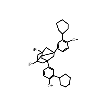 CC(C)C12CC3(c4ccc(O)c(C5CCCCC5)c4)CC(c4ccc(O)c(C5CCCCC5)c4)(C1)CC(C(C)C)(C3)C2